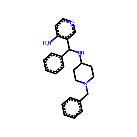 Nc1ccncc1C(NC1CCN(Cc2ccccc2)CC1)c1ccccc1